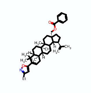 C=C(C)[C@@H]1CC[C@]2(COC(=O)c3ccccc3)CC[C@]3(C)C(CC[C@@H]4[C@@]5(C)CC=C(c6cc(CC)no6)C(C)(C)[C@@H]5CC[C@]43C)[C@@H]12